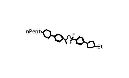 CCCCCC1CCC(c2ccc(C(C)OC(F)(F)c3ccc(C4CCC(CC)CC4)cc3)cc2)CC1